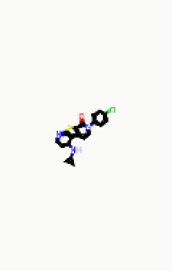 O=c1c2sc3nccc(NC4CC4)c3c2ccn1-c1ccc(Cl)cc1